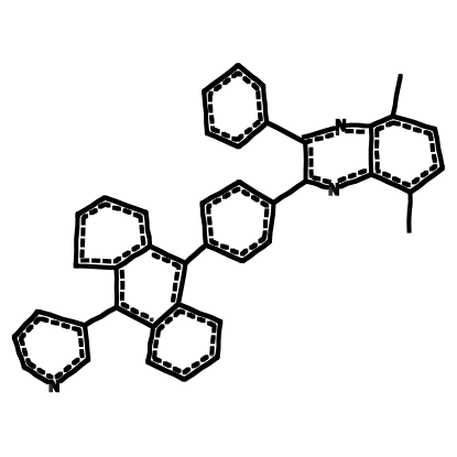 Cc1ccc(C)c2nc(-c3ccc(-c4c5ccccc5c(-c5cccnc5)c5ccccc45)cc3)c(-c3ccccc3)nc12